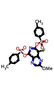 COc1cnc2c(OS(=O)(=O)c3ccc(C)cc3)nc(OS(=O)(=O)c3ccc(C)cc3)c(F)c2n1